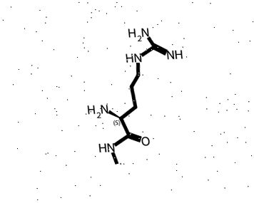 [CH2]NC(=O)[C@@H](N)CCCNC(=N)N